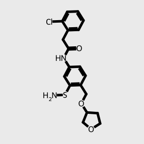 NSc1cc(NC(=O)Cc2ccccc2Cl)ccc1COC1CCOC1